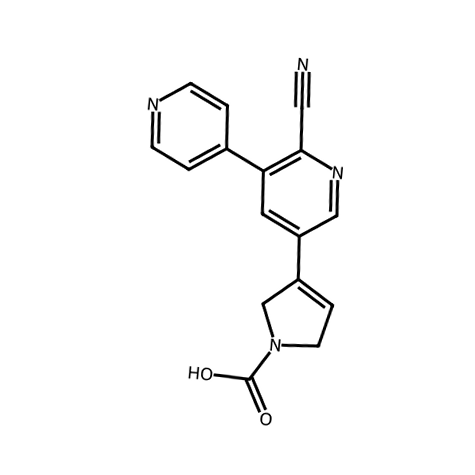 N#Cc1ncc(C2=CCN(C(=O)O)C2)cc1-c1ccncc1